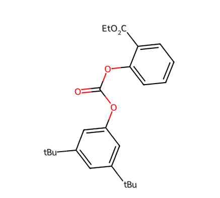 CCOC(=O)c1ccccc1OC(=O)Oc1cc(C(C)(C)C)cc(C(C)(C)C)c1